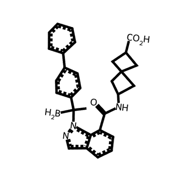 BC(C)(c1ccc(-c2ccccc2)cc1)n1ncc2cccc(C(=O)NC3CC4(C3)CC(C(=O)O)C4)c21